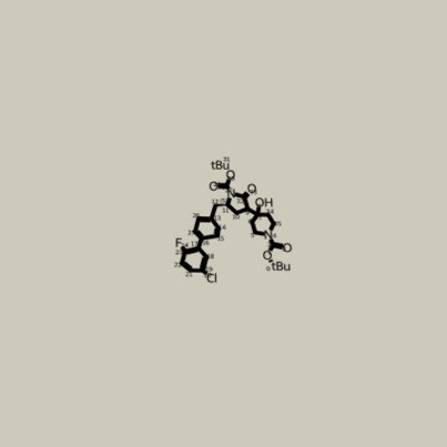 CC(C)(C)OC(=O)N1CCC(O)(C2C[C@@H](Cc3ccc(-c4cc(Cl)ccc4F)cc3)N(C(=O)OC(C)(C)C)C2=O)CC1